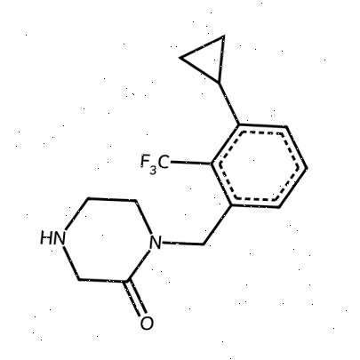 O=C1CNCCN1Cc1cccc(C2CC2)c1C(F)(F)F